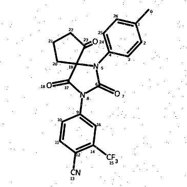 Cc1ccc(N2C(=O)N(c3ccc(C#N)c(C(F)(F)F)c3)C(=O)C23CCCC3=O)cc1